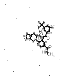 CNC(=O)c1cnc(N2CC3CCCN3CC2C)c(NC(=O)c2cc(F)cc(C(F)(F)F)c2)c1